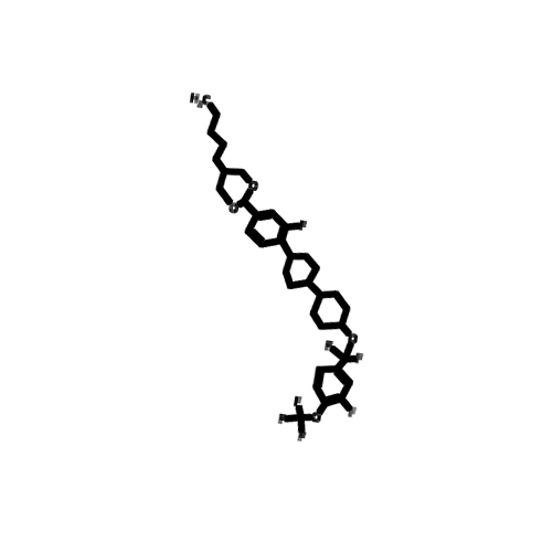 CCCCCC1COC(c2ccc(C3CCC(C4CCC(OC(F)(F)c5ccc(OC(F)(F)F)c(F)c5)CC4)CC3)c(F)c2)OC1